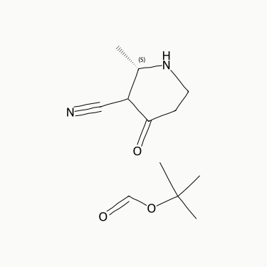 CC(C)(C)OC=O.C[C@@H]1NCCC(=O)C1C#N